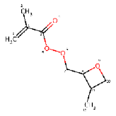 C=C(C)C(=O)OOCC1OCC1C